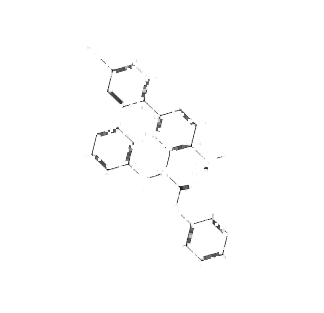 O=C(Oc1ccccc1)N(Oc1ccccc1)c1nc(-c2ccc(F)cc2)ccc1[N+](=O)[O-]